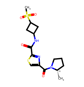 C[C@H]1CCCN1C(=O)c1csc(C(=O)NC2CC(S(C)(=O)=O)C2)n1